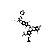 CS(=O)(=O)N(CCN1CCOCC1)c1ccc2c(c1)C(=O)N(CC(=O)OC(Cc1c(Cl)c[n+]([O-])cc1Cl)c1ccc(OC(F)F)c(OCC3CC3)c1)C2=O